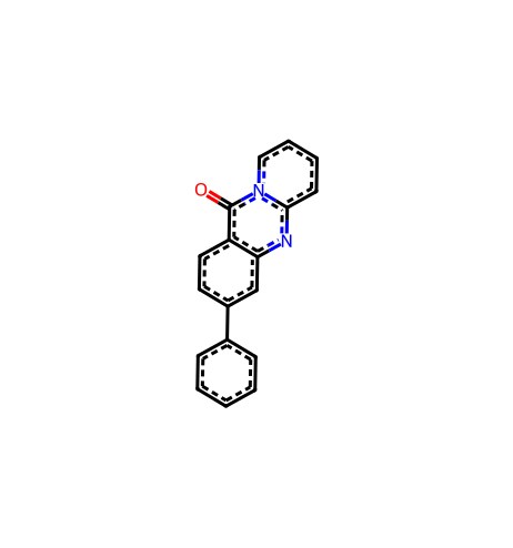 O=c1c2ccc(-c3ccccc3)cc2nc2ccccn12